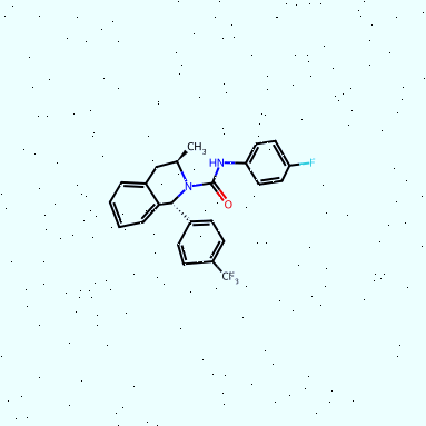 C[C@@H]1Cc2ccccc2[C@@H](c2ccc(C(F)(F)F)cc2)N1C(=O)Nc1ccc(F)cc1